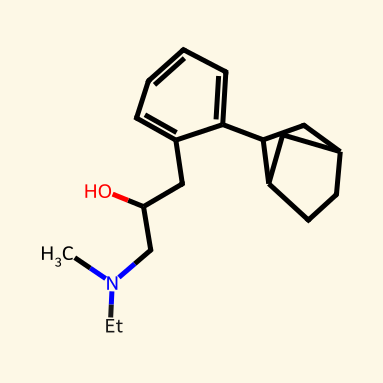 CCN(C)CC(O)Cc1ccccc1C1CC2CCC1C2